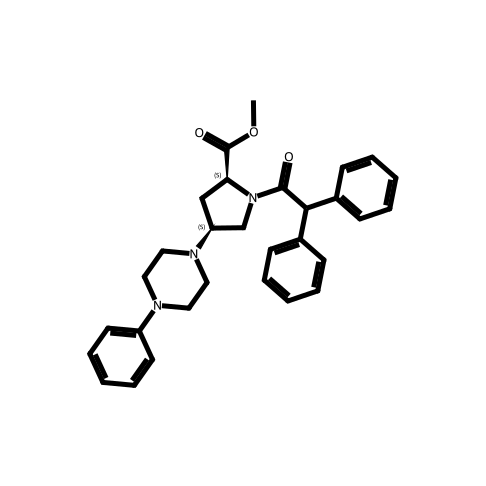 COC(=O)[C@@H]1C[C@H](N2CCN(c3ccccc3)CC2)CN1C(=O)C(c1ccccc1)c1ccccc1